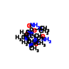 CCn1nc(C)cc1C(=O)/N=c1\n(C)c2cc(C(N)=O)ccc2n1C/C(C)=C(\C)Cn1/c(=N/C(=O)c2cc(C)nn2CC)n(C)c2cc(C(N)=O)cc(OCCCN(C)C)c21